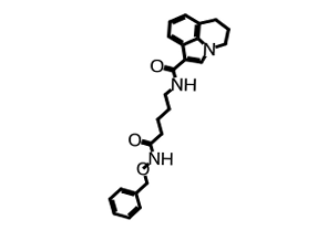 O=C(CCCCNC(=O)c1cn2c3c(cccc13)CCC2)NOCc1ccccc1